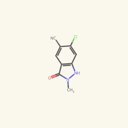 Cn1[nH]c2cc(Cl)c(C#N)cc2c1=O